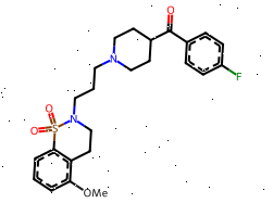 COc1cccc2c1CCN(CCCN1CCC(C(=O)c3ccc(F)cc3)CC1)S2(=O)=O